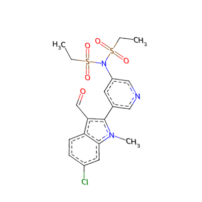 CCS(=O)(=O)N(c1cncc(-c2c(C=O)c3ccc(Cl)cc3n2C)c1)S(=O)(=O)CC